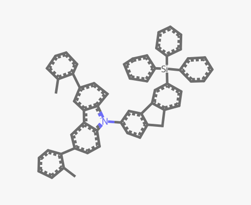 Cc1ccccc1-c1ccc2c(c1)c1cc(-c3ccccc3C)ccc1n2-c1ccc2c(c1)-c1cc([Si](c3ccccc3)(c3ccccc3)c3ccccc3)ccc1C2